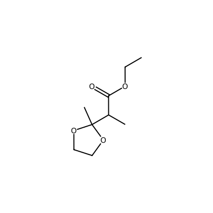 CCOC(=O)C(C)C1(C)OCCO1